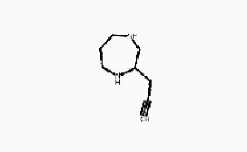 C#CCC1CNCCCN1